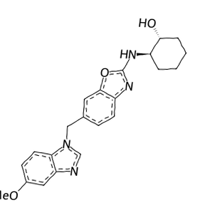 COc1ccc2c(c1)ncn2Cc1ccc2nc(N[C@@H]3CCCC[C@H]3O)oc2c1